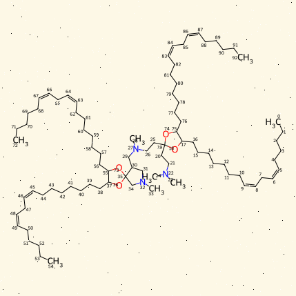 CCCCC/C=C\C/C=C\CCCCCCCC1OC(CCN(C)C)(CCN(C)CC2CN(C)CC23OC(CCCCCCC/C=C\C/C=C\CCCCC)C(CCCCCCC/C=C\C/C=C\CCCCC)O3)OC1CCCCCCC/C=C\C/C=C\CCCCC